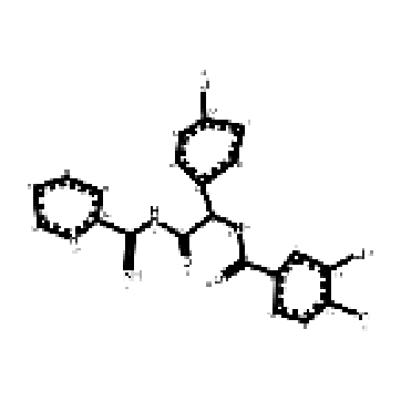 N=C(NC(=O)C(NC(=O)c1ccc(Cl)c(Cl)c1)c1ccc(Cl)cc1)c1ccccn1